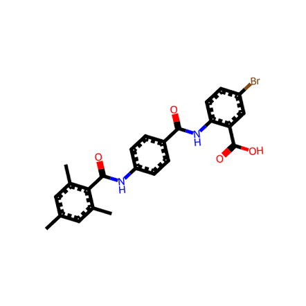 Cc1cc(C)c(C(=O)Nc2ccc(C(=O)Nc3ccc(Br)cc3C(=O)O)cc2)c(C)c1